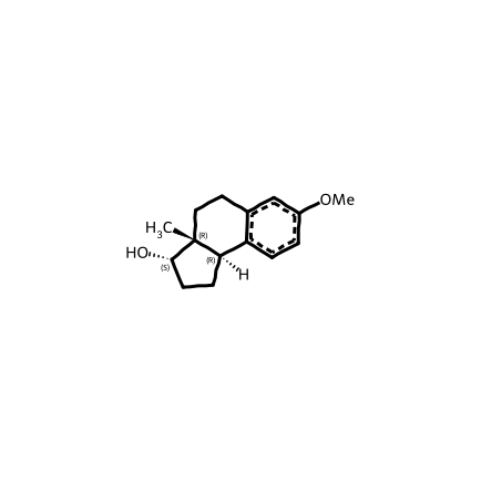 COc1ccc2c(c1)CC[C@]1(C)[C@@H]2CC[C@@H]1O